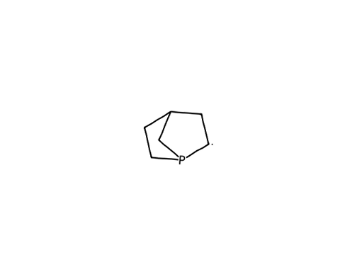 [CH]1CC2CCP1C2